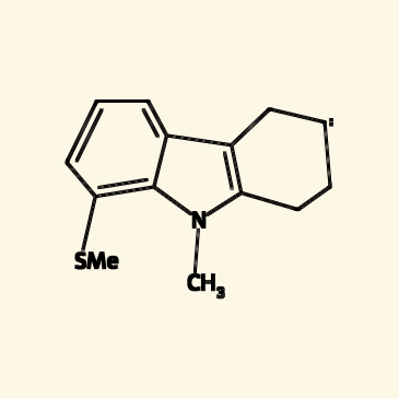 CSc1cccc2c3c(n(C)c12)CC[C]C3